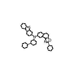 c1ccc(-c2cccc(N(c3ccc4c(c3)sc3ccccc34)c3ccc4ccc5oc(-c6ccccc6)nc5c4c3)c2)cc1